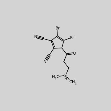 C[SiH](C)CCC(=O)C1C(Br)=C(Br)C(C#N)=C1C#N